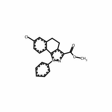 COC(=O)c1nn(-c2ccccc2)c2c1CCc1cc(Cl)ccc1-2